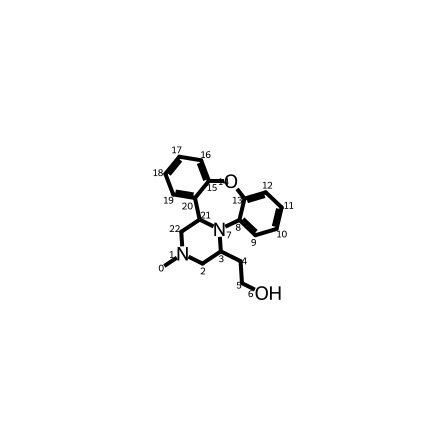 CN1CC(CCO)N2c3ccccc3Oc3ccccc3C2C1